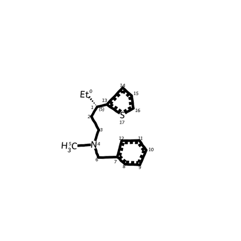 CC[C@@H](CCN(C)Cc1ccccc1)c1cccs1